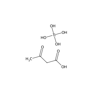 CC(=O)CC(=O)O.[OH][Ti]([OH])([OH])[OH]